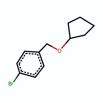 Brc1ccc(COC2CCCC2)cc1